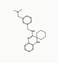 CN(C)Cc1cccc(CNC2=Nc3ccccc3NC23CCCCC3)c1